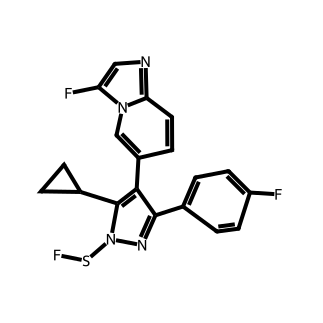 FSn1nc(-c2ccc(F)cc2)c(-c2ccc3ncc(F)n3c2)c1C1CC1